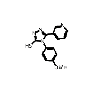 COc1ccc(-n2c(S)nnc2-c2cccnc2)cc1